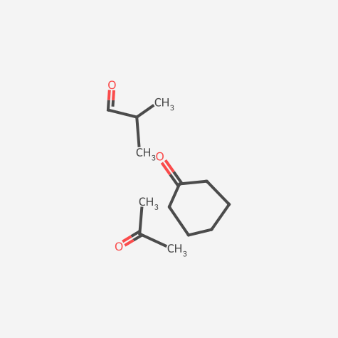 CC(C)=O.CC(C)C=O.O=C1CCCCC1